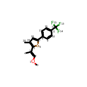 COC=C(C)c1sc(-c2ccc(C(F)(F)F)cc2)cc1C